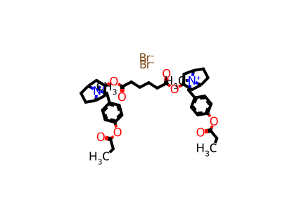 CCC(=O)Oc1ccc(C[N+]2(C)C3CCC2CC(OC(=O)CCCCC(=O)OC2CC4CCC(C2)[N+]4(C)Cc2ccc(OC(=O)CC)cc2)C3)cc1.[Br-].[Br-]